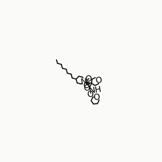 CCCCCCCCC1CCN(S(=O)(=O)C2(C(=O)NOC3CCCCO3)CCOCC2)CC1